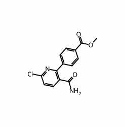 COC(=O)c1ccc(-c2nc(Cl)ccc2C(N)=O)cc1